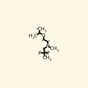 CC(C)OCCN(C)CC(C)(F)F